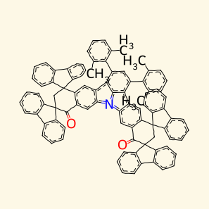 Cc1cccc(C)c1-c1cc(-c2c(C)cccc2C)c2c3cc4c(cc3n3c5cc6c(cc5c1c23)C1(CC2(C6=O)c3ccccc3-c3ccccc32)c2ccccc2-c2ccccc21)C(=O)C1(CC42c3ccccc3-c3ccccc32)c2ccccc2-c2ccccc21